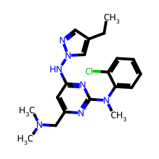 CCc1cnn(Nc2cc(CN(C)C)nc(N(C)c3ccccc3Cl)n2)c1